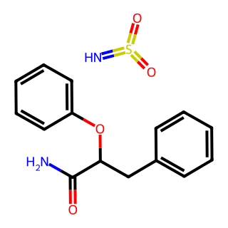 N=S(=O)=O.NC(=O)C(Cc1ccccc1)Oc1ccccc1